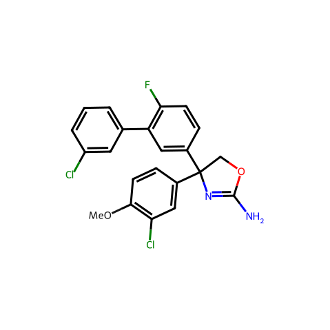 COc1ccc(C2(c3ccc(F)c(-c4cccc(Cl)c4)c3)COC(N)=N2)cc1Cl